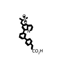 CC(Cc1cc(-c2cccc(-c3ccc(C=CC(=O)O)cc3)c2)c2ncccc2c1)S(C)(=O)=O